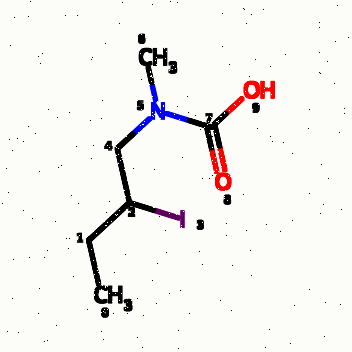 CCC(I)CN(C)C(=O)O